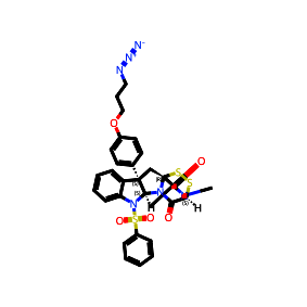 CN1C(=O)C[C@]23C[C@]4(c5ccc(OCCCN=[N+]=[N-])cc5)c5ccccc5N(S(=O)(=O)c5ccccc5)[C@@H]4N2C(=O)[C@@H]1SS3